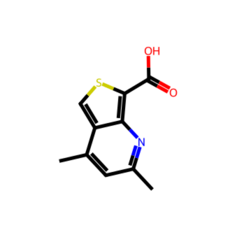 Cc1cc(C)c2csc(C(=O)O)c2n1